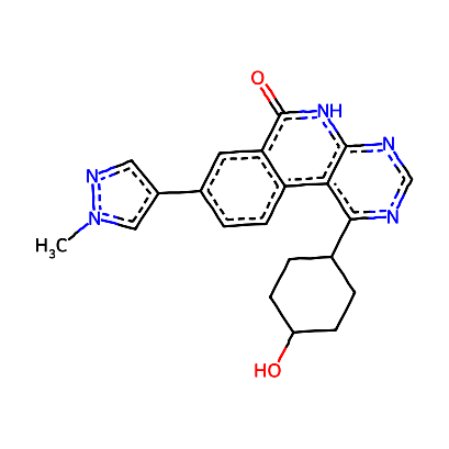 Cn1cc(-c2ccc3c(c2)c(=O)[nH]c2ncnc(C4CCC(O)CC4)c23)cn1